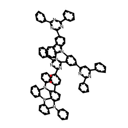 c1ccc(-c2cc(-c3ccc(-n4c5ccccc5c5cc(-c6nc(-c7ccccc7)nc(-c7ccccc7)n6)ccc54)c(-c4nc(-c5ccccc5)nc(-c5ccc(-c6ccc7c8c6N(c6ccccc6)c6ccccc6B8c6ccccc6N7c6ccccc6)cc5)n4)c3)nc(-c3ccccc3)n2)cc1